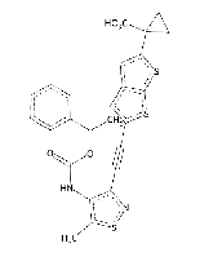 Cc1snc(C#Cc2cc3cc(C4(C(=O)O)CC4)sc3s2)c1NC(=O)OC(C)c1ccccc1